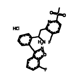 CS(=O)(=O)c1ccc(F)c(CC(N)c2ccccc2-c2noc3c(F)cccc23)n1.Cl